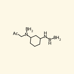 BBNC1CCCC(N(B)CC(C)=O)C1